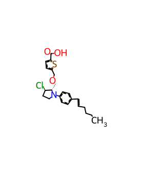 CCCCC=Cc1ccc(N2CC[C@@H](Cl)[C@@H]2COCc2ccc(C(=O)O)s2)cc1